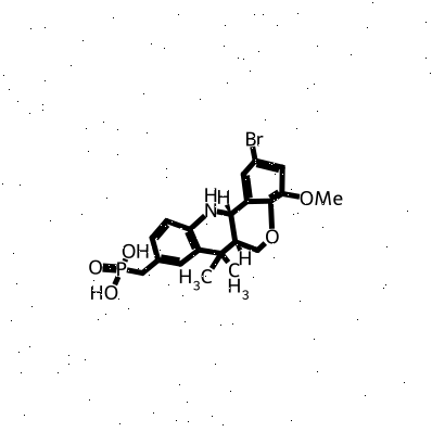 COc1cc(Br)cc2c1OC[C@H]1[C@@H]2Nc2ccc(CP(=O)(O)O)cc2C1(C)C